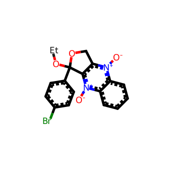 CCOC1(c2ccc(Br)cc2)OCc2c1[n+]([O-])c1ccccc1[n+]2[O-]